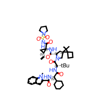 C=C[C@@H]1C[C@]1(NC(=O)[C@@H]1C[C@@]2(CN1C(=O)[C@@H](NC(=O)[C@@H](NC(=O)c1cc3ccccc3n1C)C1CCCCC1)C(C)(C)C)C(C)(C)C21CCC1)C(=O)NS(=O)(=O)N1CCCC1